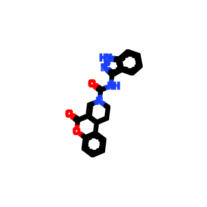 O=C1Oc2ccccc2C2CCN(C(=O)Nc3n[nH]c4ccccc34)C=C12